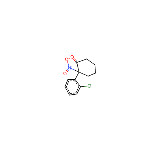 O=C1CCCCC1(c1ccccc1Cl)[N+](=O)[O-]